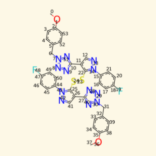 COc1ccc(Cn2nnc(-c3cnn(-c4ccc(F)cc4)c3SSc3c(-c4nnn(Cc5ccc(OC)cc5)n4)cnn3-c3ccc(F)cc3)n2)cc1